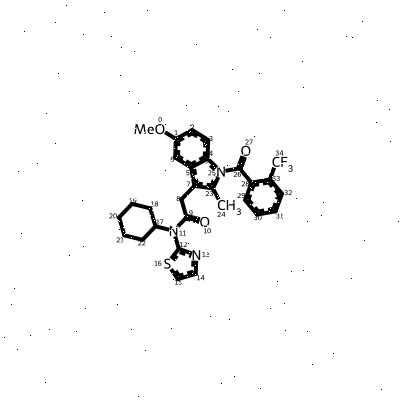 COc1ccc2c(c1)c(CC(=O)N(c1nccs1)C1CCCCC1)c(C)n2C(=O)c1ccccc1C(F)(F)F